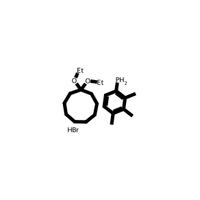 Br.CCOC1(OCC)CCCCCCCC1.Cc1ccc(P)c(C)c1C